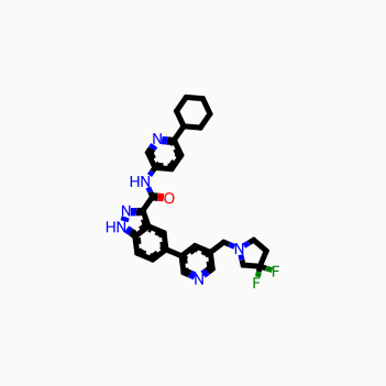 O=C(Nc1ccc(C2CCCCC2)nc1)c1n[nH]c2ccc(-c3cncc(CN4CCC(F)(F)C4)c3)cc12